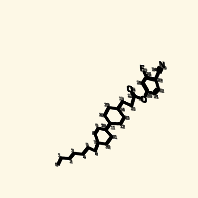 CCCCCCCC1CCC(C2CCC(CCC(=O)Oc3ccc(C#N)c(F)c3)CC2)CC1